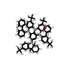 CC(C)(C)c1ccc2c(c1)B1c3cc(C(C)(C)C)ccc3N(c3cccc4sc5ccccc5c34)c3cc(N4c5ccc(C(C)(C)C)cc5C5(C)CCCCC45C)cc(c31)N2c1ccc(C(C)(C)C)cc1-c1ccccc1